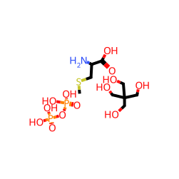 CSCC(N)C(=O)O.O=P(O)(O)OP(=O)(O)O.OCC(CO)(CO)CO